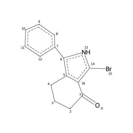 O=C1CCCc2c(-c3ccccc3)[nH]c(Br)c21